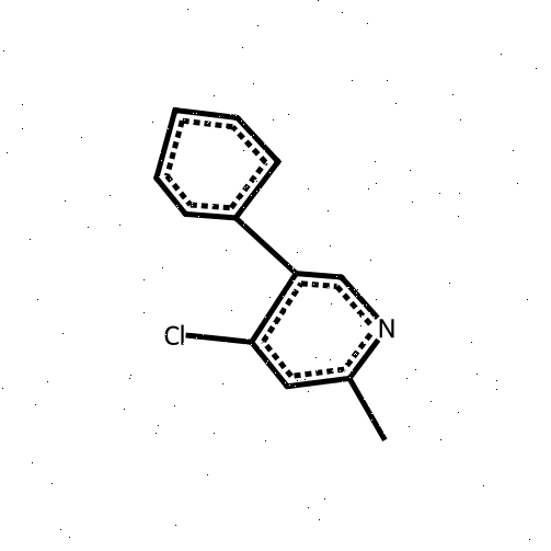 Cc1cc(Cl)c(-c2ccccc2)cn1